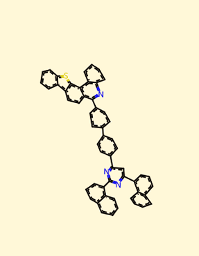 c1ccc2c(-c3cc(-c4ccc(-c5ccc(-c6nc7ccccc7c7c6ccc6c8ccccc8sc67)cc5)cc4)nc(-c4cccc5ccccc45)n3)cccc2c1